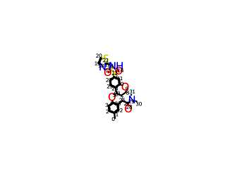 Cc1ccc(O[C@@H]2CCOc3cc(S(=O)(=O)Nc4nccs4)ccc32)c(CC(=O)N(C)C)c1